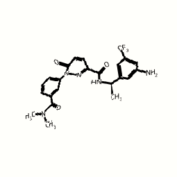 C[C@@H](NC(=O)c1ccc(=O)n(-c2cccc(C(=O)N(C)C)c2)n1)c1cc(N)cc(C(F)(F)F)c1